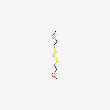 COCCSSSCCOC